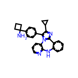 NC1(c2ccc(-c3c(C4CC4)nc4n3-c3cccnc3Nc3ccccc3-4)cc2)CCC1